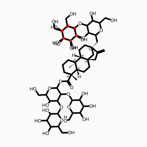 C=C1C[C@@]23CC[C@H]4[C@@](C)(CCC[C@@]4(C)C(=O)OC4OC(CO)C(O)C(OC5OC(CO)C(O)C(O)C5O)C4OC4OC(CO)C(O)C(O)C4O)[C@@H]2CC[C@]1(CC1OC(CO)C(O)C(OC2OC(CO)C(O)C(O)C2O)C1OC1OC(CO)C(O)C(O)C1O)C3